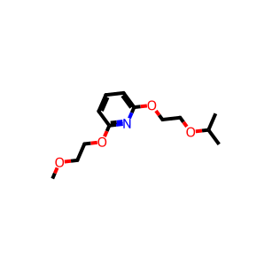 COCCOc1cccc(OCCOC(C)C)n1